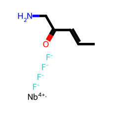 CC=CC(=O)CN.[F-].[F-].[F-].[F-].[Nb+4]